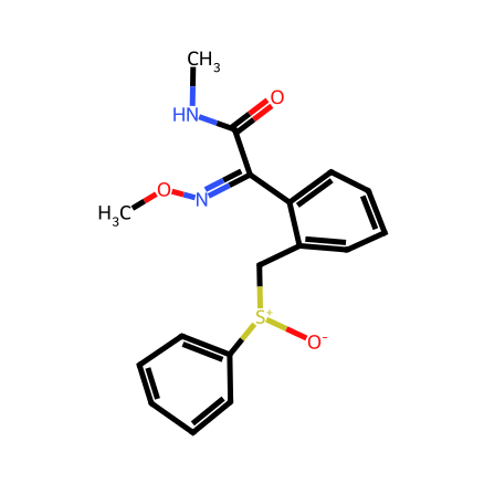 CNC(=O)C(=NOC)c1ccccc1C[S+]([O-])c1ccccc1